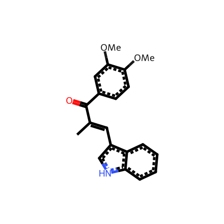 COc1ccc(C(=O)/C(C)=C/c2c[nH]c3ccccc23)cc1OC